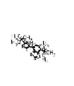 CC(C)(C)c1ncc(-c2ccc(C(C)(C)C)c3ocnc23)[nH]1